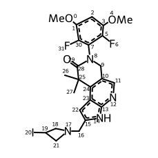 COc1cc(OC)c(F)c(N2Cc3cnc4[nH]c(CN5CC(I)C5)cc4c3C(C)(C)C2=O)c1F